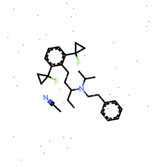 CC#N.CCC(CCc1c(C2(F)CC2)cccc1C1(F)CC1)N(CCc1ccccc1)C(C)C